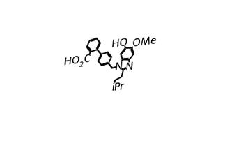 COc1cc2nc(CCC(C)C)n(Cc3ccc(-c4ccccc4C(=O)O)cc3)c2cc1O